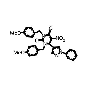 COc1ccc(Cn2c(-c3cnn(-c4ccccc4)c3)c([N+](=O)[O-])c(=O)n(Cc3ccc(OC)cc3)c2=O)cc1